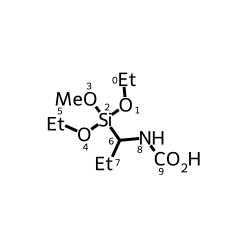 CCO[Si](OC)(OCC)C(CC)NC(=O)O